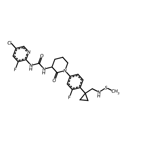 CSNCC1(c2ccc(N3CCCC(NC(=O)Nc4ncc(Cl)cc4F)C3=O)cc2F)CC1